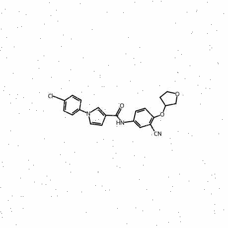 N#Cc1cc(NC(=O)c2ccn(-c3ccc(Cl)cc3)c2)ccc1OC1CCOC1